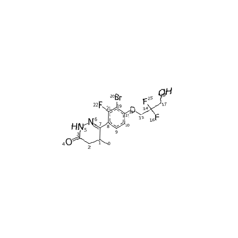 CC1CC(=O)NN=C1c1ccc(OCC(F)(F)CO)c(Br)c1F